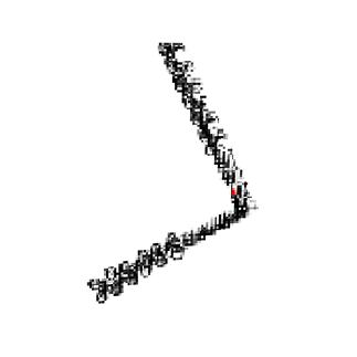 [Li+].[Li+].[Li+].[Li+].[Li+].[Li+].[Li+].[Li+].[Li+].[Li+].[Li+].[Li+].[Li+].[Li+].[Li+].[Li+].[Li+].[Li+].[Li+].[Li+].[Li+].[Li+].[Li+].[Li+].[O-]B([O-])F.[O-]B([O-])F.[O-]B([O-])F.[O-]B([O-])F.[O-]B([O-])F.[O-]B([O-])F.[O-]B([O-])F.[O-]B([O-])F.[O-]B([O-])F.[O-]B([O-])F.[O-]B([O-])F.[O-]B([O-])F